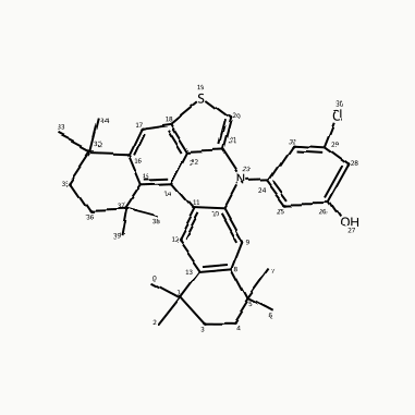 CC1(C)CCC(C)(C)c2cc3c(cc21)-c1c2c(cc4scc(c14)N3c1cc(O)cc(Cl)c1)C(C)(C)CCC2(C)C